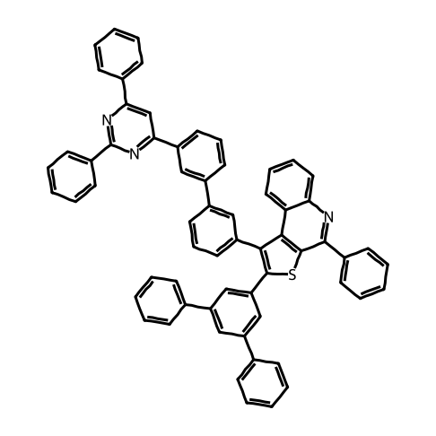 c1ccc(-c2cc(-c3ccccc3)cc(-c3sc4c(-c5ccccc5)nc5ccccc5c4c3-c3cccc(-c4cccc(-c5cc(-c6ccccc6)nc(-c6ccccc6)n5)c4)c3)c2)cc1